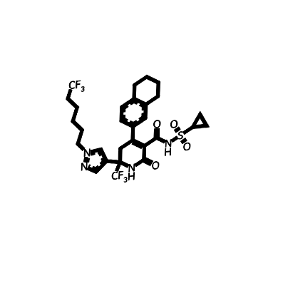 O=C1NC(c2cnn(CCCCCC(F)(F)F)c2)(C(F)(F)F)CC(c2ccc3c(c2)CCCC3)=C1C(=O)NS(=O)(=O)C1CC1